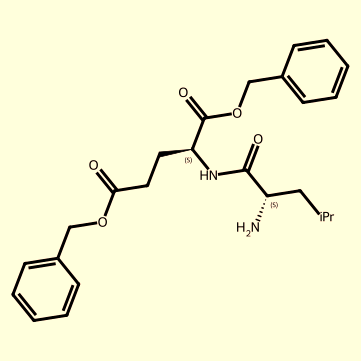 CC(C)C[C@H](N)C(=O)N[C@@H](CCC(=O)OCc1ccccc1)C(=O)OCc1ccccc1